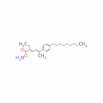 CCCCCCCCCc1ccc(/C(C)=C/C=C(\CC)C(=O)ON)cc1